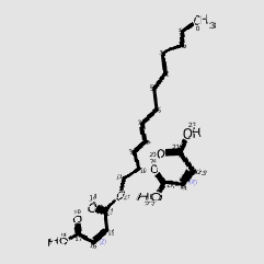 CCCCCCCCCCCCOC(=O)/C=C\C(=O)O.O=C(O)/C=C\C(=O)O